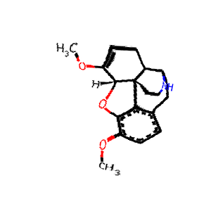 COC1=CCC2C3Cc4ccc(OC)c5c4[C@]2(CCN3)[C@@H]1O5